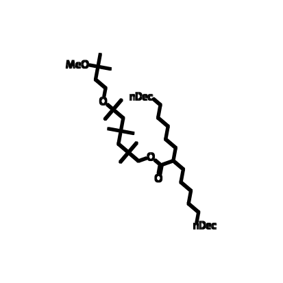 CCCCCCCCCCCCCCCC(CCCCCCCCCCCCCCC)C(=O)OCC(C)(C)CC(C)(C)CC(C)(C)OCCC(C)(C)OC